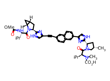 COC(=O)N[C@H](C(=O)N1[C@@H]2C[C@@H]2C[C@H]1c1nc(C#Cc2ccc3cc(-c4c[nH]c([C@@H]5C[C@H](C)CN5C(=O)[C@H](C(C)C)N(C)C(=O)O)n4)ccc3c2)c[nH]1)C(C)C